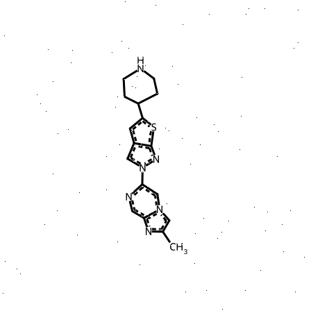 Cc1cn2cc(-n3cc4cc(C5CCNCC5)sc4n3)ncc2n1